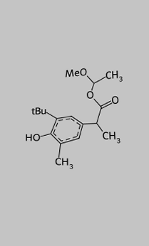 COC(C)OC(=O)C(C)c1cc(C)c(O)c(C(C)(C)C)c1